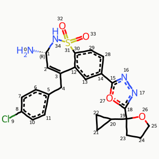 N[C@H]1C=C(Cc2ccc(Cl)cc2)c2cc(-c3nnc(C4(C5CC5)CCCO4)o3)ccc2S(=O)(=O)N1